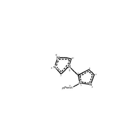 CCCCCn1nccc1-n1cnnc1